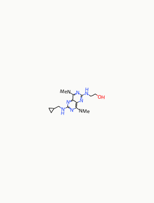 CNc1nc(NCC2CC2)nc2c(NC)nc(NCCO)nc12